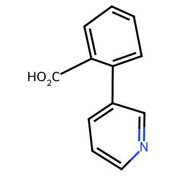 O=C(O)c1ccccc1-c1cccnc1